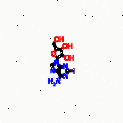 Nc1nc(I)nc2c1ncn2C1OC(CO)C(O)C1O